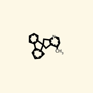 Cc1ccnc2c1CC1(C2)c2ccccc2-c2ccccc21